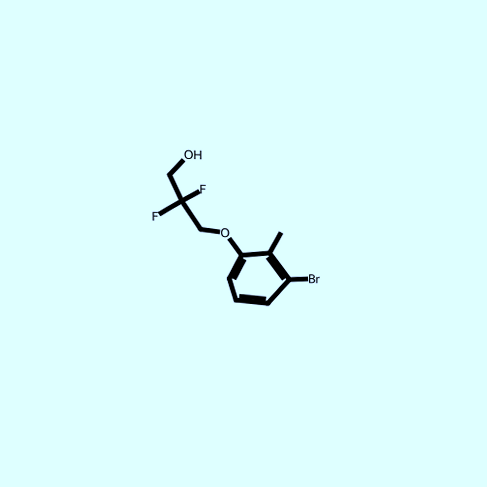 Cc1c(Br)cccc1OCC(F)(F)CO